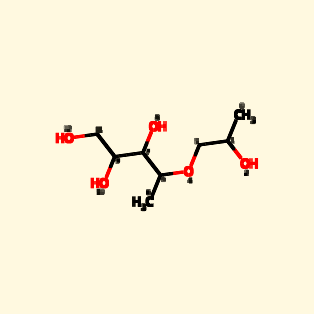 CC(O)COC(C)C(O)C(O)CO